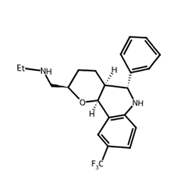 CCNC[C@H]1CC[C@@H]2[C@H](O1)c1cc(C(F)(F)F)ccc1N[C@H]2c1ccccc1